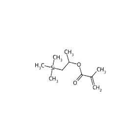 C=C(C)C(=O)OC(C)C[Si](C)(C)C